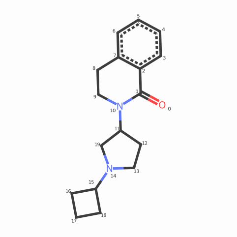 O=C1c2cc[c]cc2CCN1C1CCN(C2CCC2)C1